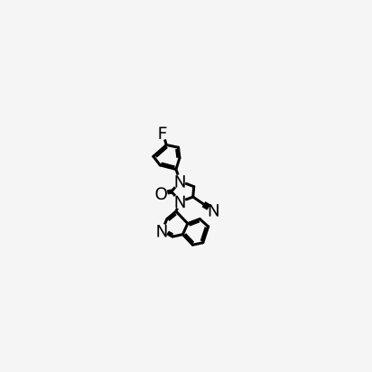 N#CC1CN(c2ccc(F)cc2)C(=O)N1c1cncc2ccccc12